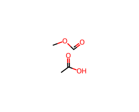 CC(=O)O.COC=O